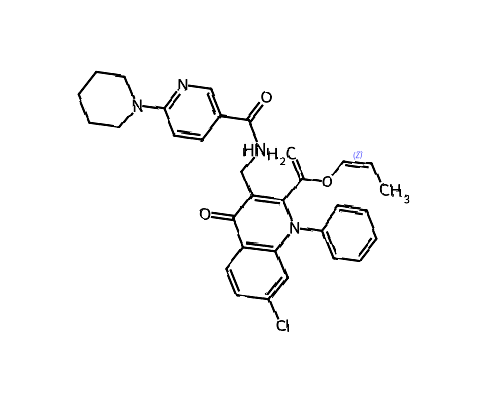 C=C(O/C=C\C)c1c(CNC(=O)c2ccc(N3CCCCC3)nc2)c(=O)c2ccc(Cl)cc2n1-c1ccccc1